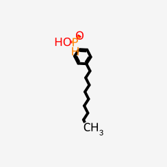 CCCCCCCCCc1ccc([PH](=O)O)cc1